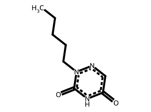 CCCCCn1ncc(=O)[nH]c1=O